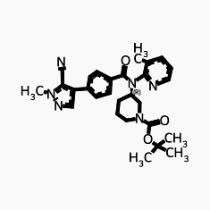 Cc1cccnc1N(C(=O)c1ccc(-c2cnn(C)c2C#N)cc1)[C@@H]1CCCN(C(=O)OC(C)(C)C)C1